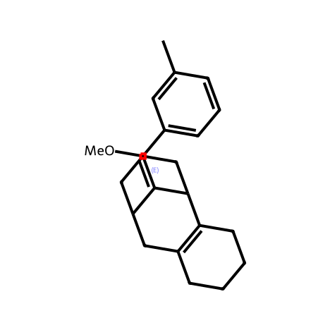 CO/C(=C1\C2CCCC1C1=C(CCCC1)C2)c1cccc(C)c1